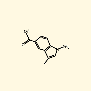 Cc1cn(P)c2ccc(C(=O)O)cc12